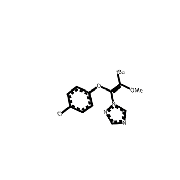 CO/C(=C(/Oc1ccc(Cl)cc1)n1cncn1)C(C)(C)C